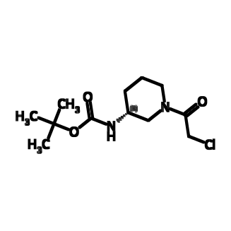 CC(C)(C)OC(=O)N[C@@H]1CCCN(C(=O)CCl)C1